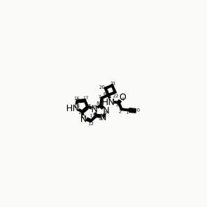 C#CCC(=O)NC1(Cc2nnc3cnc4[nH]ccc4n23)CCC1